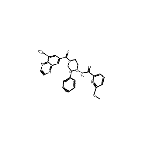 COc1cccc(C(=O)N[C@@H]2CCN(C(=O)c3cc(Cl)c4nccnc4c3)C[C@@H]2c2ccccc2)n1